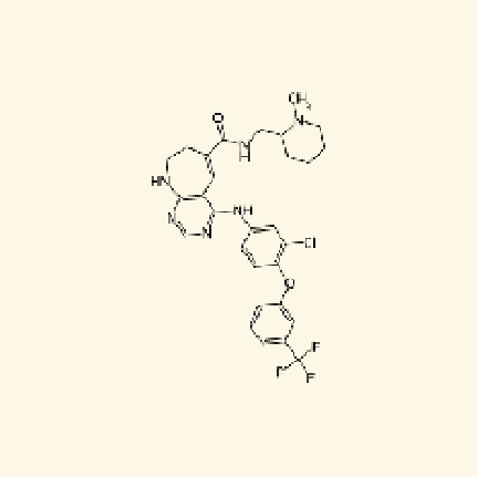 CN1CCCCC1CNC(=O)C1=Cc2c(ncnc2Nc2ccc(Oc3cccc(C(F)(F)F)c3)c(Cl)c2)NCC1